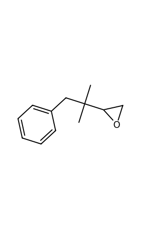 CC(C)(Cc1ccccc1)C1CO1